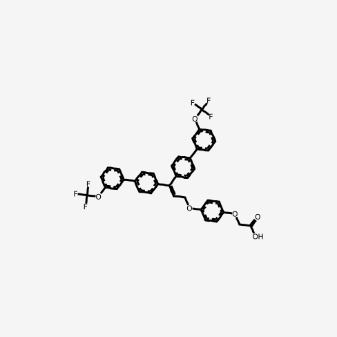 O=C(O)COc1ccc(OCC=C(c2ccc(-c3cccc(OC(F)(F)F)c3)cc2)c2ccc(-c3cccc(OC(F)(F)F)c3)cc2)cc1